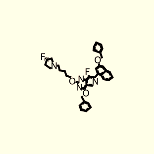 Fc1c(-c2cc(OCc3ccccc3)cc3ccccc23)ncc2c(OCc3ccccc3)nc(OCCCCCN3CC[C@@H](F)C3)nc12